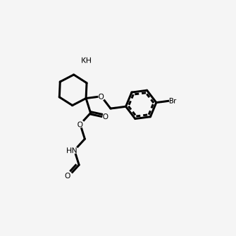 O=CNCOC(=O)C1(OCc2ccc(Br)cc2)CCCCC1.[KH]